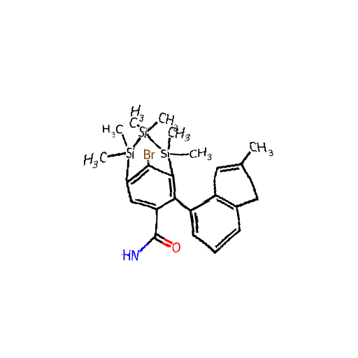 CC1=Cc2c(cccc2-c2c(C([NH])=O)cc3c(Br)c2[Si](C)(C)[Si](C)(C)[Si]3(C)C)C1